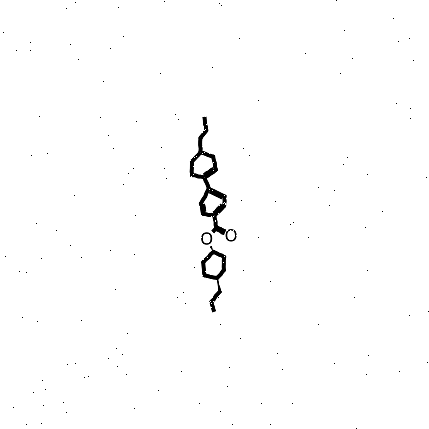 CCCC1CC=C(c2ccc(C(=O)O[C@H]3CC[C@H](CCC)CC3)cc2)CC1